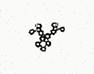 c1ccc(-n2c3ccc(-c4cc(-c5ccc6c(c5)c5cccnc5n6-c5ccccc5)cc(-c5cccc6c5-c5ccccc5-c5ccccc5-c5ccccc5-6)c4)cc3c3cccnc32)cc1